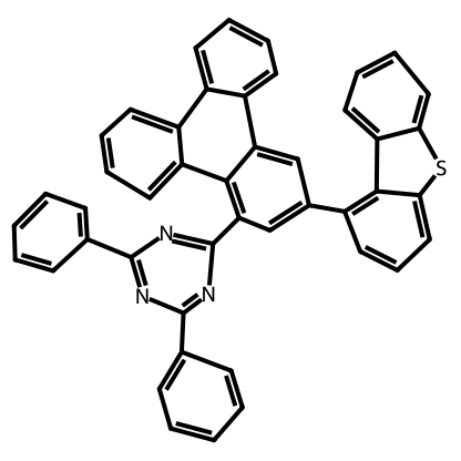 c1ccc(-c2nc(-c3ccccc3)nc(-c3cc(-c4cccc5sc6ccccc6c45)cc4c5ccccc5c5ccccc5c34)n2)cc1